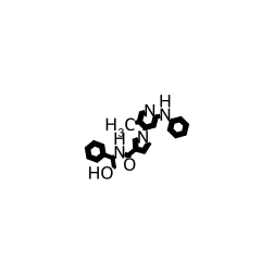 Cc1cnc(Nc2ccccc2)cc1-n1ccc(C(=O)NC(CO)c2ccccc2)c1